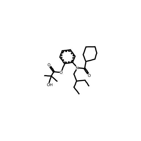 CCC(CC)CN(C(=O)C1CCCCC1)c1ccccc1OC(=O)C(C)(C)O